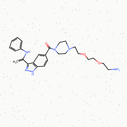 C=C(Nc1ccccc1)c1n[nH]c2ccc(C(=O)N3CCN(CCOCCOCCN)CC3)cc12